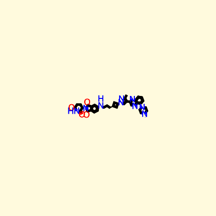 Cc1nn([C@H]2C[C@H](CCCNc3ccc4c(c3)C(=O)N(C3CCC(=O)NC3=O)C4=O)C2)cc1-c1cnc2c(N3CCN(C)CC3)cccc2n1